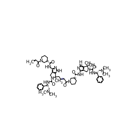 C=CC(=O)N1CCC[C@H](C(=O)Nc2n[nH]c3c2CN(C(=O)N[C@H](CN(C)C)c2ccccc2)C3(C)C/C=C/C(=O)N2CCC[C@@H](C(=O)Nc3n[nH]c4c3CN(C(=O)N[C@H](CN(C)C)c3ccccc3)C4(C)C)C2)C1